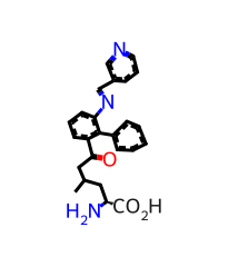 CC(CC(=O)c1cccc(N=Cc2cccnc2)c1-c1ccccc1)C[C@H](N)C(=O)O